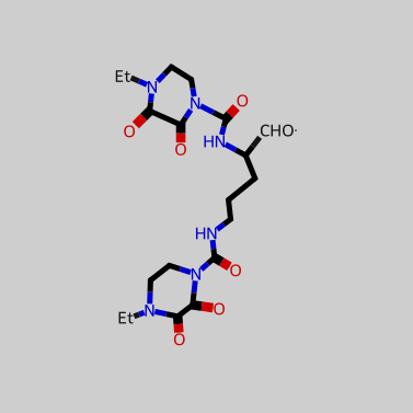 CCN1CCN(C(=O)NCCCC([C]=O)NC(=O)N2CCN(CC)C(=O)C2=O)C(=O)C1=O